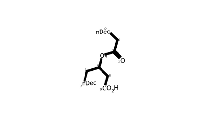 CCCCCCCCCCCC(=O)OC(CCCCCCCCCCC)CC(=O)O